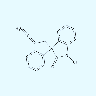 C=C=CCC1(c2ccccc2)C(=O)N(C)c2ccccc21